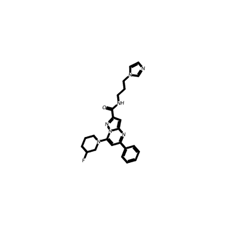 O=C(NCCCn1ccnc1)c1cc2nc(-c3ccccc3)cc(N3CCCC(F)C3)n2n1